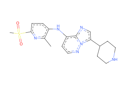 Cc1nc(S(C)(=O)=O)ccc1Nc1ccnn2c(C3CCNCC3)cnc12